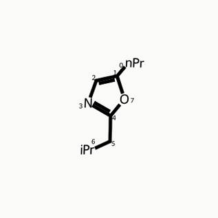 CCCc1cnc(CC(C)C)o1